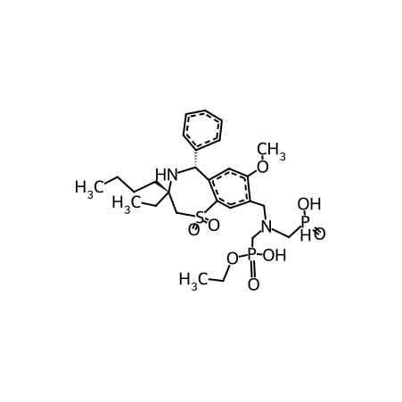 CCCC[C@]1(CC)CS(=O)(=O)c2cc(CN(C[PH](=O)O)CP(=O)(O)OCC)c(OC)cc2[C@@H](c2ccccc2)N1